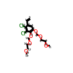 C=Cc1cc(OCOCCOC)c(OCOCCOC)c(Cl)c1Cl